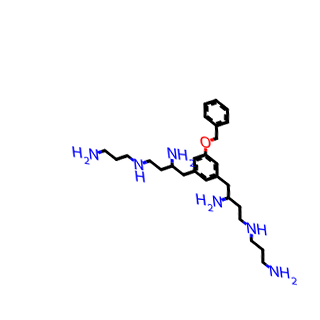 NCCCNCCC(N)Cc1cc(CC(N)CCNCCCN)cc(OCc2ccccc2)c1